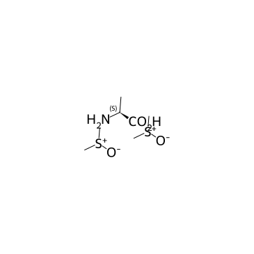 C[C@H](N)C(=O)O.C[S+](C)[O-].C[S+](C)[O-]